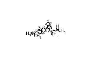 CNCCN(C)Cc1nn2c(c1C1CCC3(CC1)CCN(CC(C)C)C3=O)CCC2